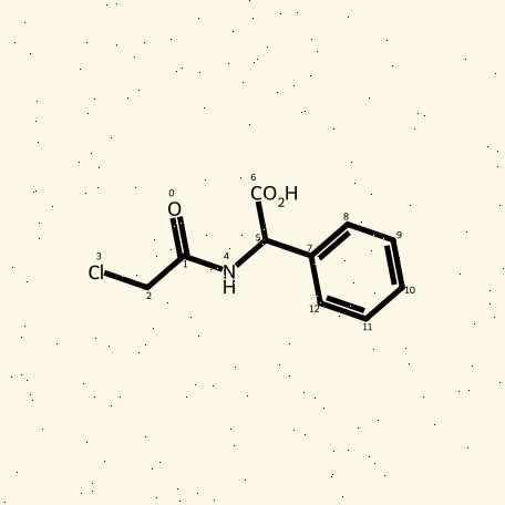 O=C(CCl)NC(C(=O)O)c1ccccc1